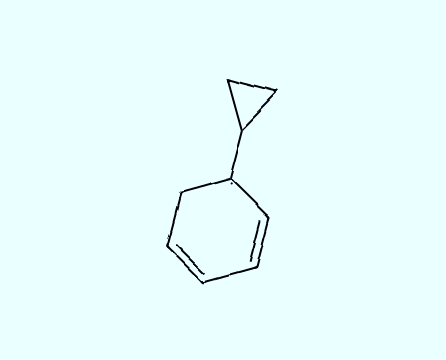 C1=CC[C](C2CC2)C=C1